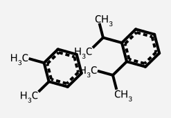 CC(C)c1ccccc1C(C)C.Cc1ccccc1C